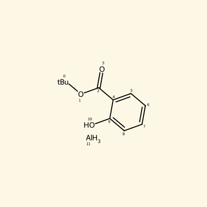 CC(C)(C)OC(=O)c1ccccc1O.[AlH3]